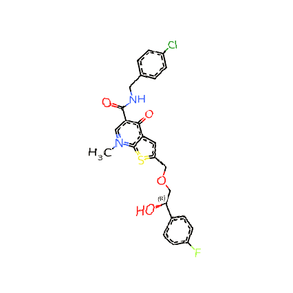 Cn1cc(C(=O)NCc2ccc(Cl)cc2)c(=O)c2cc(COC[C@H](O)c3ccc(F)cc3)sc21